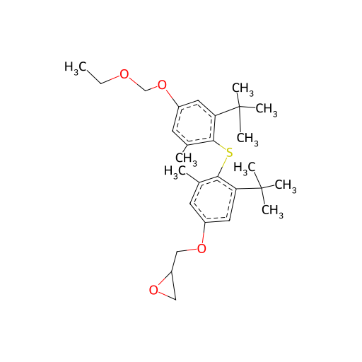 CCOCOc1cc(C)c(Sc2c(C)cc(OCC3CO3)cc2C(C)(C)C)c(C(C)(C)C)c1